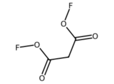 O=C(CC(=O)OF)OF